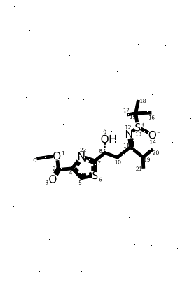 COC(=O)c1csc([C@H](O)CC(=N[S+]([O-])C(C)(C)C)C(C)C)n1